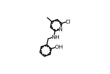 Cc1cc(Cl)nc(NCc2ccccc2O)c1